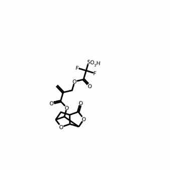 C=C(COC(=O)C(F)(F)S(=O)(=O)O)C(=O)OC1C2CC3C(=O)OC1C3O2